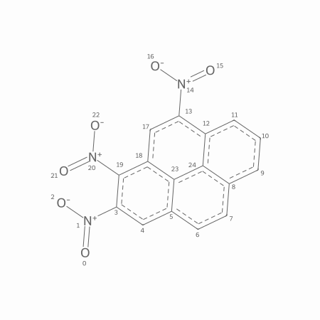 O=[N+]([O-])c1cc2ccc3cccc4c([N+](=O)[O-])cc(c1[N+](=O)[O-])c2c34